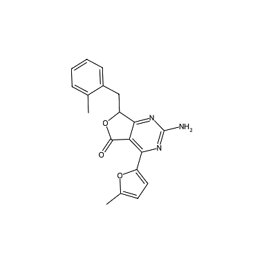 Cc1ccc(-c2nc(N)nc3c2C(=O)OC3Cc2ccccc2C)o1